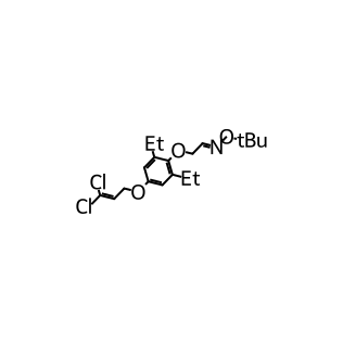 CCc1cc(OCC=C(Cl)Cl)cc(CC)c1OCC=NOC(C)(C)C